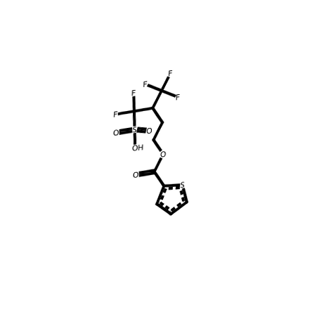 O=C(OCCC(C(F)(F)F)C(F)(F)S(=O)(=O)O)c1cccs1